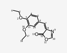 CCOc1ccc(C=C2N=COC2=O)cc1OCC